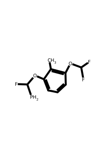 Cc1c(OC(F)F)cccc1OC(F)P